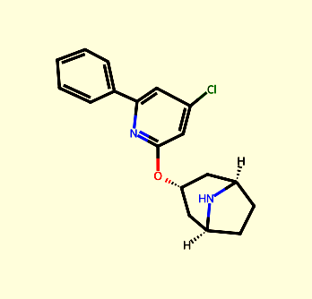 Clc1cc(O[C@@H]2C[C@H]3CC[C@@H](C2)N3)nc(-c2ccccc2)c1